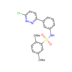 COc1ccc(OC)c(S(=O)(=O)Nc2cccc(-c3ccc(Cl)nn3)c2)c1